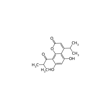 CC(C)C(=O)c1c(O)cc(O)c2c(C(C)C)cc(=O)oc12